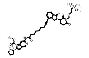 CN1CCC[C@@H]1c1cc2cnc(NC(=O)CCCCCCC#Cc3cccc4c3CN(C3CCC(=O)N(COCC[Si](C)(C)C)C3=O)C4=O)cc2n1C(=O)OC(C)(C)C